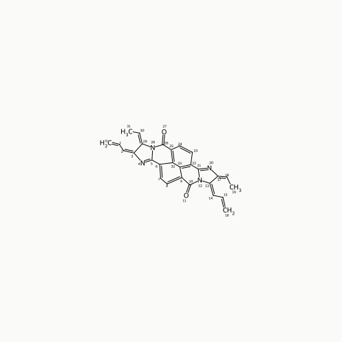 C=C/C=c1/nc2c3ccc4c(=O)n5c(=C/C=C)/c(=C\C)nc5c5ccc(c(=O)n2/c1=C/C)c3c45